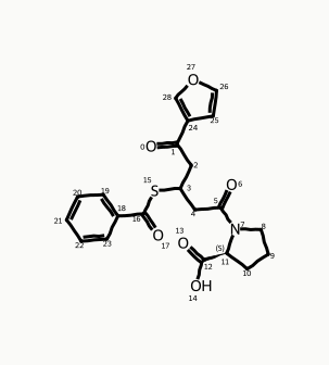 O=C(CC(CC(=O)N1CCC[C@H]1C(=O)O)SC(=O)c1ccccc1)c1ccoc1